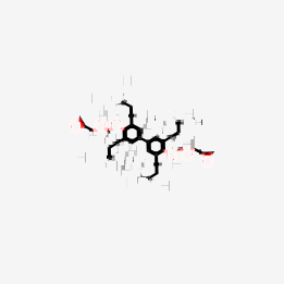 CC(OCC1CO1)Oc1c(C(C)(C)CC(C)(C)C)cc(-c2cc(C(C)(C)CC(C)(C)C)c(OC(C)OCC3CO3)c(C(C)(C)CC(C)(C)C)c2)cc1C(C)(C)CC(C)(C)C